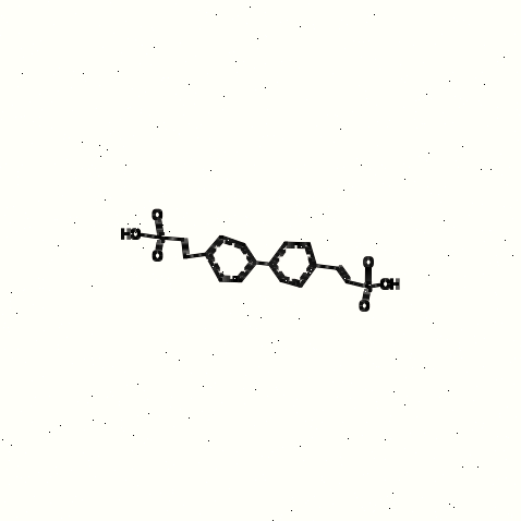 O=S(=O)(O)C=Cc1ccc(-c2ccc(C=CS(=O)(=O)O)cc2)cc1